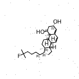 C[C@H](CCCC(C)(C)F)[C@H]1CC[C@H]2[C@@H]3C=CC4=C[C@@H](O)C[C@H](O)[C@]4(C)[C@H]3CC[C@]12C